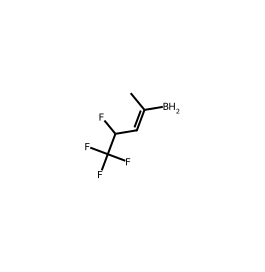 BC(C)=CC(F)C(F)(F)F